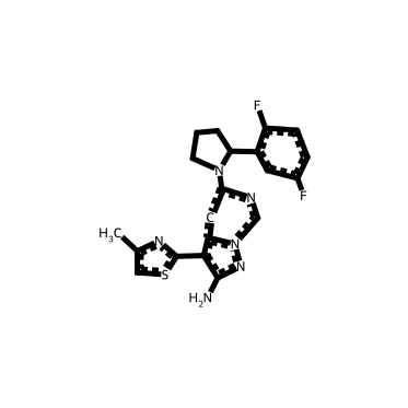 Cc1csc(-c2c(N)nn3cnc(N4CCCC4c4cc(F)ccc4F)cc23)n1